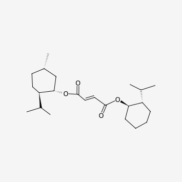 CC(C)[C@H]1CC[C@H](C)C[C@@H]1OC(=O)/C=C/C(=O)O[C@@H]1CCCC[C@H]1C(C)C